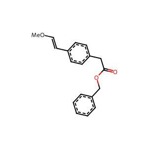 COC=Cc1ccc(CC(=O)OCc2ccccc2)cc1